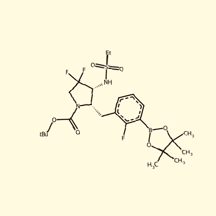 CCS(=O)(=O)N[C@@H]1[C@H](Cc2cccc(B3OC(C)(C)C(C)(C)O3)c2F)N(C(=O)OC(C)(C)C)CC1(F)F